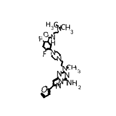 CN(C)CCNC(=O)c1cc(N2CCN(CCN(C)c3nc(N)n4nc(-c5ccco5)cc4n3)CC2)c(F)cc1F